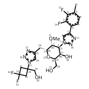 CO[C@@H]1[C@@H](n2cc(-c3ccc(C)c(F)c3F)nn2)[C@@H](O)[C@@H](CO)O[C@@H]1Cc1cn(C2(CO)CC(F)(F)C2)nn1